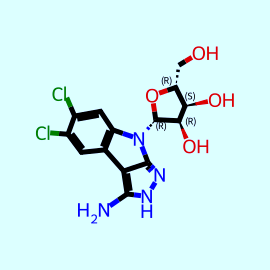 Nc1[nH]nc2c1c1cc(Cl)c(Cl)cc1n2[C@@H]1O[C@H](CO)[C@@H](O)[C@H]1O